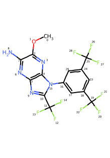 COc1nc2c(nc1N)nc(C(F)(F)F)n2-c1cc(C(F)(F)F)cc(C(F)(F)F)c1